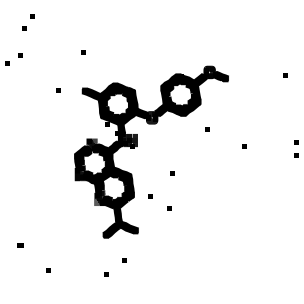 COc1ccc(Oc2ccc(C)cc2Nc2ncnc3nc(C(C)C)ccc23)cc1